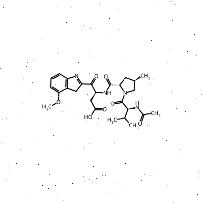 COc1cccc2c1CC(C(=O)[C@H](CC(=O)O)NC(=O)[C@@H]1C[C@@H](C)CN1C(=O)[C@@H](NC(C)=O)C(C)C)=N2